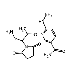 CC(=O)C(NN)N1C(=O)CCC1=O.NNc1ccc(C(N)=O)cn1